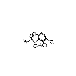 CC(C)[C@@H](O)[C@@H](O)c1c(Cl)ccc(Cl)c1Cl